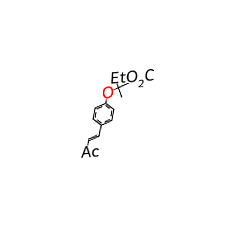 CCOC(=O)C(C)(C)Oc1ccc(C=CC(C)=O)cc1